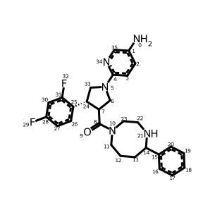 Nc1ccc(N2CC(C(=O)N3CCCC(c4ccccc4)NCC3)[C@H](c3ccc(F)cc3F)C2)nc1